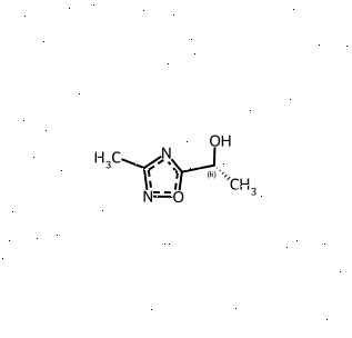 Cc1noc([C@@H](C)O)n1